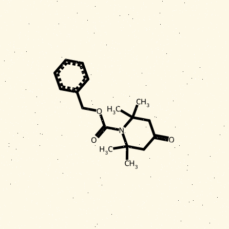 CC1(C)CC(=O)CC(C)(C)N1C(=O)OCc1ccccc1